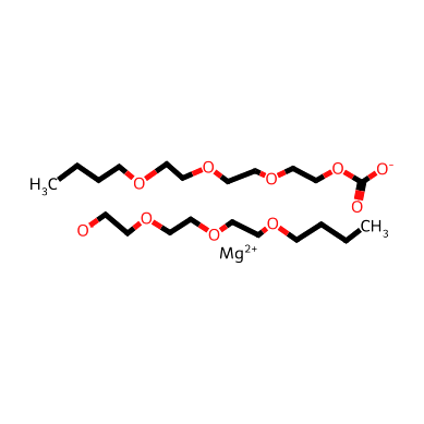 CCCCOCCOCCOCCOC(=O)[O-].CCCCOCCOCCOCC[O-].[Mg+2]